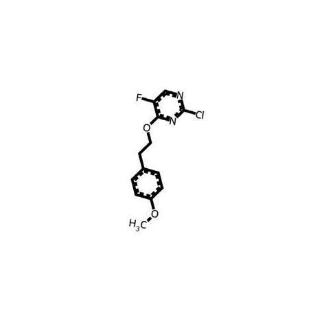 COc1ccc(CCOc2nc(Cl)ncc2F)cc1